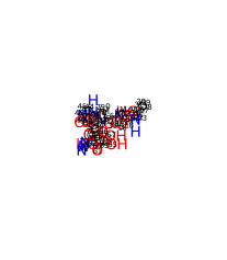 CC[C@H](C)[C@@H]([C@@H](CC(=O)N1CCC[C@H]1[C@H](OC)[C@@H](C)C(=O)N[C@H](C)[C@@H](O)c1ccccc1)OC)N(C)C(=O)[C@@H](NC(=O)[C@H](C(C)C)N(C)C(=O)OCc1ccc(O[C@@H]2O[C@H](C(=O)O)C[C@H](O)[C@H]2O)c2cc(CN=[N+]=[N-])oc12)C(C)C